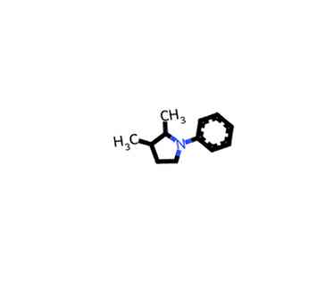 CC1CCN(c2ccccc2)C1C